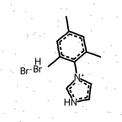 Br.Cc1cc(C)c(-[n+]2cc[nH]c2)c(C)c1.[Br-]